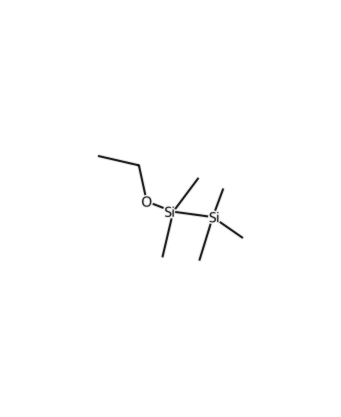 CCO[Si](C)(C)[Si](C)(C)C